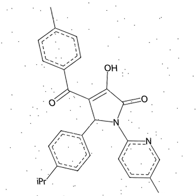 Cc1ccc(C(=O)C2=C(O)C(=O)N(c3ccc(Cl)cn3)C2c2ccc(C(C)C)cc2)cc1